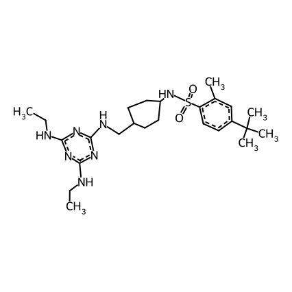 CCNc1nc(NCC)nc(NCC2CCC(NS(=O)(=O)c3ccc(C(C)(C)C)cc3C)CC2)n1